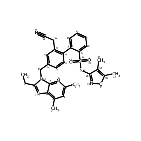 CCc1nc2c(C)cc(C)nc2n1Cc1ccc(-c2ccccc2S(=O)(=O)Nc2noc(C)c2C)c(CC#N)c1